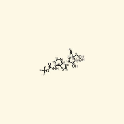 CC(C)(C)OC(=O)Nc1ncnc2c([C@@H]3O[C@](C#N)(CO)[C@@H](O)[C@H]3O)csc12